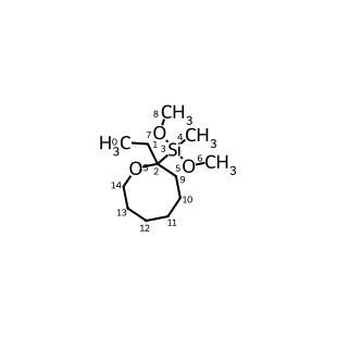 CCC1([Si](C)(OC)OC)CCCCCCO1